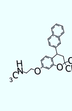 CNCCOc1ccc2c(c1)OC(C)(C)CC2c1ccc2ccccc2c1